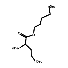 CCCCCCCCCCCCCCOC(=O)C(CCCCCCCCCC)CCCCCCCCCCCC